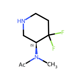 CC(=O)N(C)[C@H]1CNCCC1(F)F